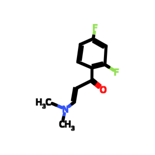 CN(C)C=CC(=O)c1ccc(F)cc1F